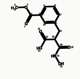 COC(=O)c1cccc(CC(C(=O)O)C(=O)NO)c1